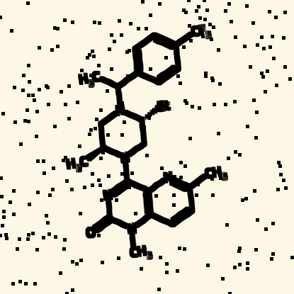 CC[C@@H]1CN(c2nc(=O)n(C)c3ccc(C)nc23)[C@@H](C)CN1C(C)c1ccc(C(F)(F)F)cc1